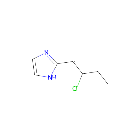 CCC(Cl)[CH]c1ncc[nH]1